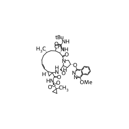 COc1nnc(O[C@@H]2C[C@H]3C(=O)NC4(C(=O)NS(=O)(=O)C5(C)CC5)C[C@H]4/C=C\CC[C@H](C)C[C@@H](C)[C@H](NC(=O)NC(C)(C)C)C(=O)N3C2)c2ccccc12